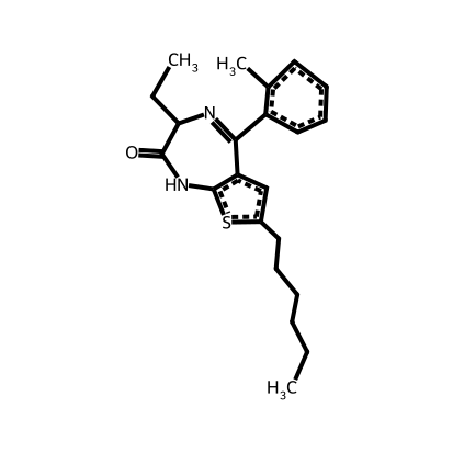 CCCCCCc1cc2c(s1)NC(=O)C(CC)N=C2c1ccccc1C